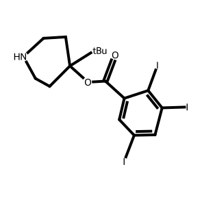 CC(C)(C)C1(OC(=O)c2cc(I)cc(I)c2I)CCNCC1